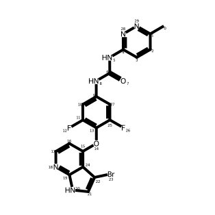 Cc1ccc(NC(=O)Nc2cc(F)c(Oc3ccnc4[nH]cc(Br)c34)c(F)c2)nn1